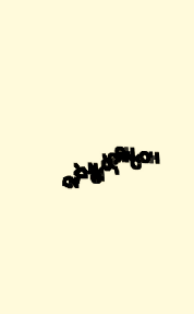 CCc1cc(-c2noc(-c3cc(C)cc(CN4CCCC4)c3)n2)cc(C)c1OCC(O)CNC(=O)CO